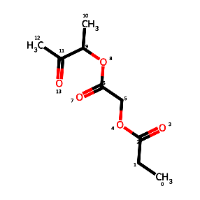 CCC(=O)OCC(=O)OC(C)C(C)=O